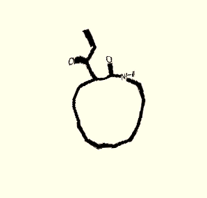 C=CC(=O)C1CCCCCCCCCCNC1=O